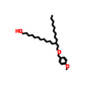 CCCCCCCCCC(CCCCCCCCCCCO)CCOCc1ccc(OC)cc1